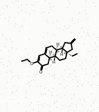 C=C1C[C@H]2[C@@H]3CC=C4C=C(OCC)C(=O)C[C@@H]4[C@H]3CC[C@]2(CC)C1